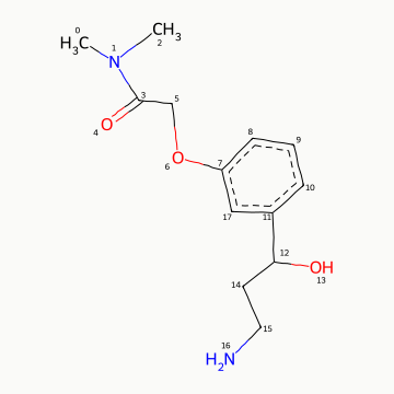 CN(C)C(=O)COc1cccc(C(O)CCN)c1